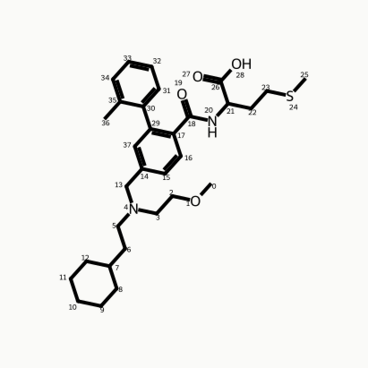 COCCN(CCC1CCCCC1)Cc1ccc(C(=O)NC(CCSC)C(=O)O)c(-c2ccccc2C)c1